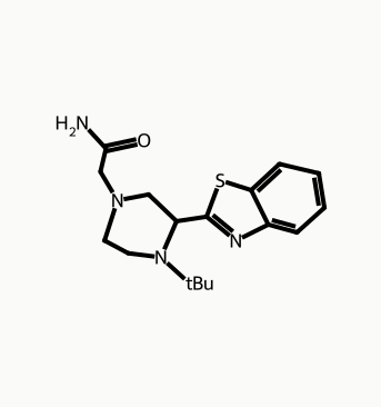 CC(C)(C)N1CCN(CC(N)=O)CC1c1nc2ccccc2s1